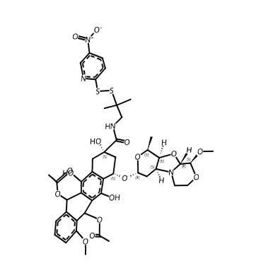 COc1cccc2c1C(OC(C)=O)c1c(O)c3c(c(O)c1C2OC(C)=O)C[C@@](O)(C(=O)NCC(C)(C)SSc1ccc([N+](=O)[O-])cn1)C[C@@H]3O[C@H]1C[C@H]2[C@H](O[C@@H]3[C@@H](OC)OCCN32)[C@H](C)O1